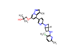 Cc1ccc(F)c(N[C@H]2[C@H](C)C3[C@H]2CN3c2ccc(-c3cc(OCC(C)(C)O)cn4ncc(C#N)c34)cn2)n1